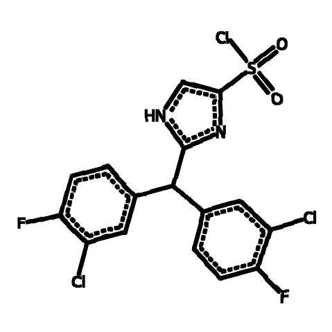 O=S(=O)(Cl)c1c[nH]c(C(c2ccc(F)c(Cl)c2)c2ccc(F)c(Cl)c2)n1